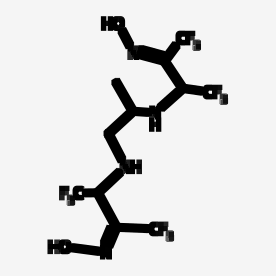 CC(CNC(C(=NO)C(F)(F)F)C(F)(F)F)NC(C(=NO)C(F)(F)F)C(F)(F)F